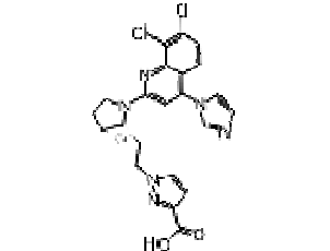 O=C(O)c1ccn(CC[C@@H]2CCCN2c2cc(-n3ccnc3)c3ccc(Cl)c(Cl)c3n2)n1